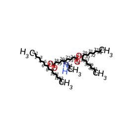 CCCCCCCC(CCCCCCC)OC(=O)CCCC(CCCC(=O)OC(CCCCCCC)CCCCCCC)NCC